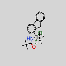 C[SiH](C)[Ti]([Cl])([Cl])([NH]C(=O)C(C)(C)C)[c]1cccc2c1Cc1ccccc1-2